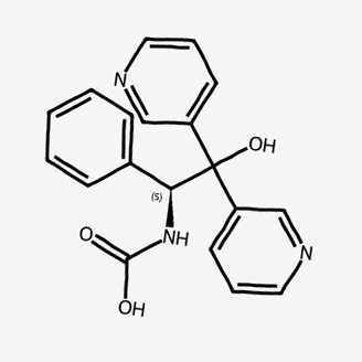 O=C(O)N[C@@H](c1ccccc1)C(O)(c1cccnc1)c1cccnc1